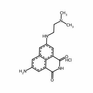 CN(C)CCNc1cc2c3c(cc(N)cc3c1)C(=O)NC2=O.Cl